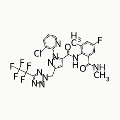 CNC(=O)c1cc(F)cc(C)c1NC(=O)c1cc(Cn2nnc(C(F)(F)C(F)(F)F)n2)nn1-c1ncccc1Cl